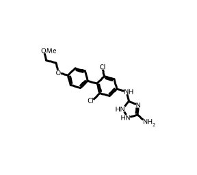 COCCOc1ccc(-c2c(Cl)cc(NC3N=C(N)NN3)cc2Cl)cc1